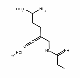 Cl.Cl.N=C(CF)NCC(=C=O)CCC(N)C(=O)O